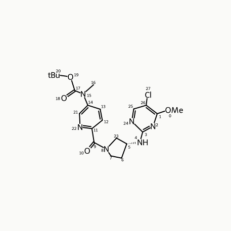 COc1nc(N[C@@H]2CCN(C(=O)c3ccc(N(C)C(=O)OC(C)(C)C)cn3)C2)ncc1Cl